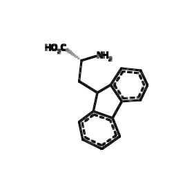 N[C@H](CC1c2ccccc2-c2ccccc21)C(=O)O